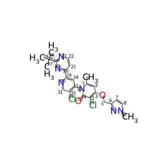 Cc1cc(OCc2ccn(C)n2)c(Cl)c(=O)n1-c1cc(-c2ccnc(C(C)(C)C)n2)ncc1Cl